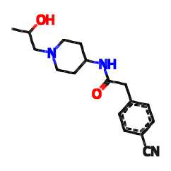 CC(O)CN1CCC(NC(=O)Cc2ccc(C#N)cc2)CC1